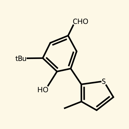 Cc1ccsc1-c1cc(C=O)cc(C(C)(C)C)c1O